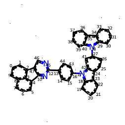 c1cc2c3c(cccc3c1)-c1nc(-c3ccc(-n4c5ccccc5c5ccc(-n6c7ccccc7c7ccccc76)cc54)cc3)ncc1-2